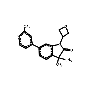 Cc1cc(-c2ccc3c(c2)N(C2COC2)C(=O)C3(C)C)ccn1